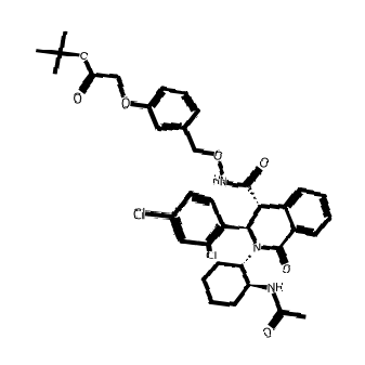 CC(=O)N[C@H]1CCCC[C@@H]1N1C(=O)c2ccccc2[C@@H](C(=O)NOCc2cccc(OCC(=O)OC(C)(C)C)c2)[C@@H]1c1ccc(Cl)cc1Cl